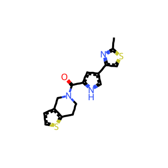 Cc1nc(-c2c[nH]c(C(=O)N3CCc4sccc4C3)c2)cs1